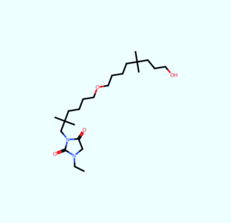 CCN1CC(=O)N(CC(C)(C)CCCCOCCCCC(C)(C)CCCO)C1=O